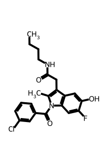 CCCCNC(=O)Cc1c(C)n(C(=O)c2cccc(Cl)c2)c2cc(F)c(O)cc12